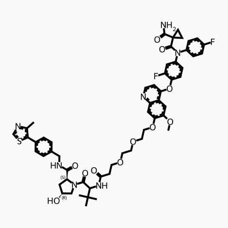 COc1cc2c(Oc3ccc(N(C(=O)C4(C(N)=O)CC4)c4ccc(F)cc4)cc3F)ccnc2cc1OCCOCCOCCC(=O)NC(C(=O)N1C[C@H](O)C[C@H]1C(=O)NCc1ccc(-c2scnc2C)cc1)C(C)(C)C